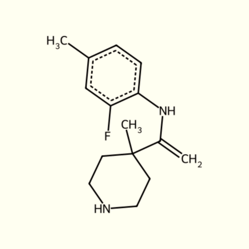 C=C(Nc1ccc(C)cc1F)C1(C)CCNCC1